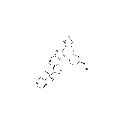 N#CC[C@H]1CC[C@H](n2c(-c3n[nH]cc3Cl)nc3cnc4c(ccn4S(=O)(=O)c4ccccc4)c32)CC1